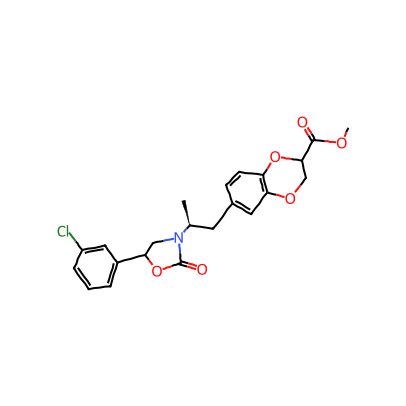 COC(=O)C1COc2cc(C[C@H](C)N3CC(c4cccc(Cl)c4)OC3=O)ccc2O1